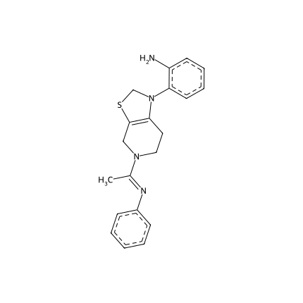 CC(=Nc1ccccc1)N1CCC2=C(C1)SCN2c1ccccc1N